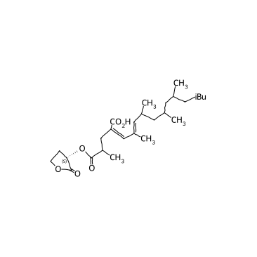 CCC(C)CC(C)CC(C)CC(C)C=C(C)C=C(CC(C)C(=O)O[C@H]1CCOC1=O)C(=O)O